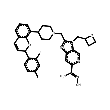 NC(=NO)c1cc2nc(CN3CCC(c4cccc5c4OC(c4ccc(Cl)cc4F)C=C5)CC3)n(CC3CCO3)c2cn1